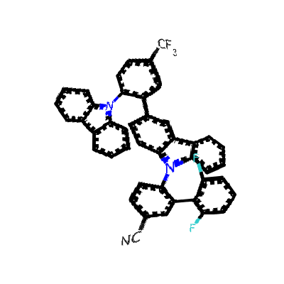 N#Cc1ccc(-n2c3ccccc3c3cc(-c4cc(C(F)(F)F)ccc4-n4c5ccccc5c5ccccc54)ccc32)c(-c2c(F)cccc2F)c1